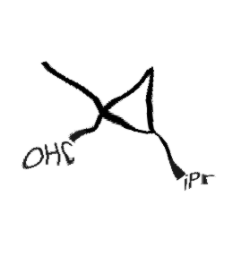 CC(C)[C@@H]1CC1(C)C=O